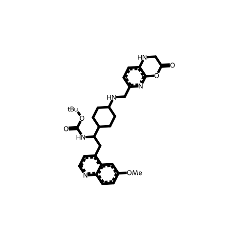 COc1ccc2nccc(CC(NC(=O)OC(C)(C)C)C3CCC(NCc4ccc5c(n4)OC(=O)CN5)CC3)c2c1